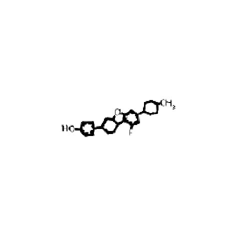 CC1CCC(c2cc(F)c3c(c2)OC2CC(c4ccc(O)cc4)CCC32)CC1